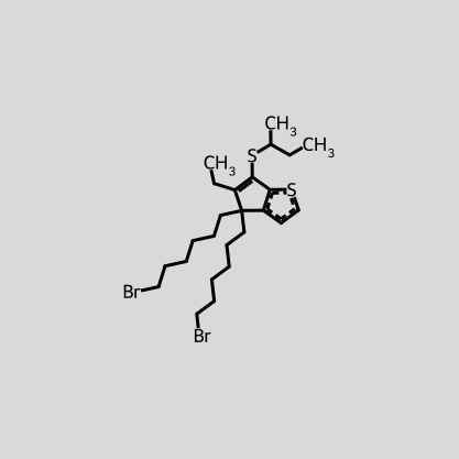 CCC1=C(SC(C)CC)c2sccc2C1(CCCCCCBr)CCCCCCBr